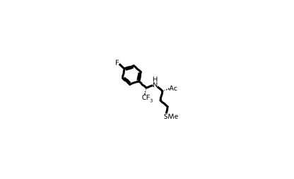 CSCC[C@H](N[C@@H](c1ccc(F)cc1)C(F)(F)F)C(C)=O